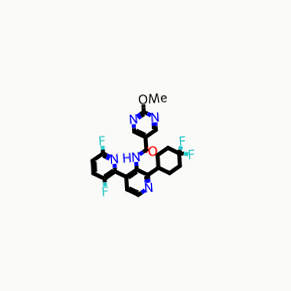 COc1ncc(C(=O)Nc2c(-c3nc(F)ccc3F)ccnc2C2CCC(F)(F)CC2)cn1